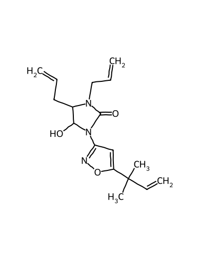 C=CCC1C(O)N(c2cc(C(C)(C)C=C)on2)C(=O)N1CC=C